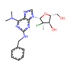 CN(C)c1nc(NCc2ccccc2)nc2c1ncn2[C@@H]1O[C@H](CO)[C@@H](O)[C@@]1(C)F